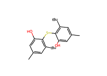 Cc1cc(O)c(Sc2c(O)cc(C)cc2C(C)(C)C)c(C(C)(C)C)c1